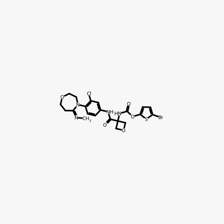 CN=C1CCOCCN1c1ccc(NC(=O)C2(NC(=O)Oc3ccc(Br)s3)COC2)cc1Cl